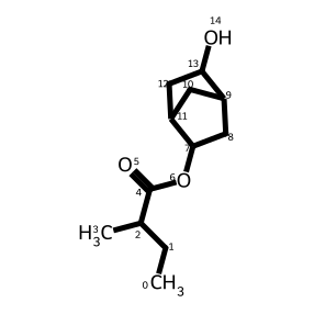 CCC(C)C(=O)OC1CC2CC1CC2O